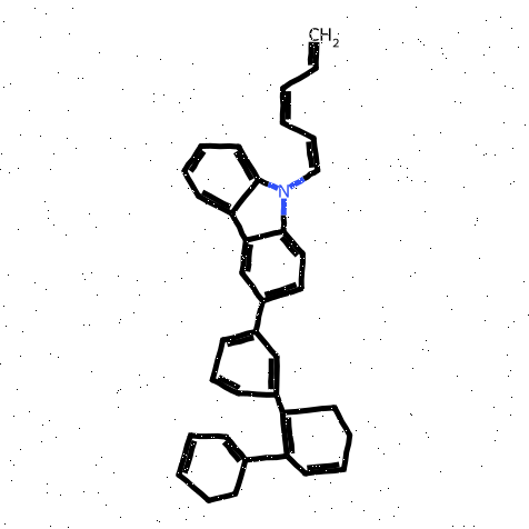 C=C/C=C\C=C/n1c2ccccc2c2cc(-c3cccc(C4=C(C5=CC=CCC5)C=CCC4)c3)ccc21